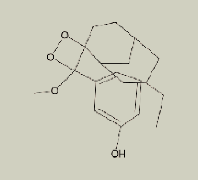 CCC1CC2CCC3(OOC3(OC)c3cccc(O)c3)C(C1)C2